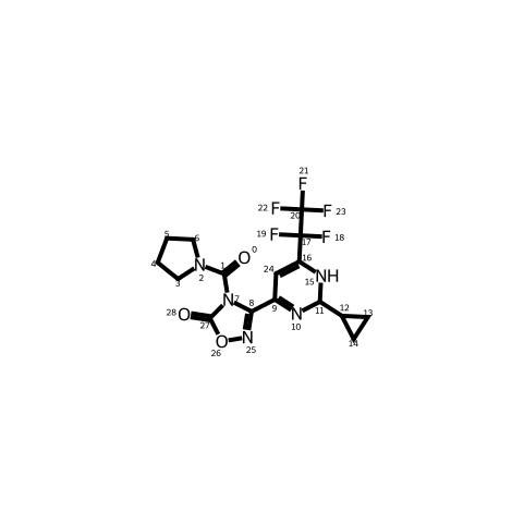 O=C(N1CCCC1)n1c(C2=NC(C3CC3)NC(C(F)(F)C(F)(F)F)=C2)noc1=O